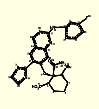 CC(C)(C)C1CCCN(C(=O)O)[C@]1(Oc1cc2nc(Nc3cccc(F)c3)ncc2cc1-c1nccs1)C(N)=O